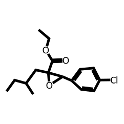 CCOC(=O)C1(CC(C)CC)OC1c1ccc(Cl)cc1